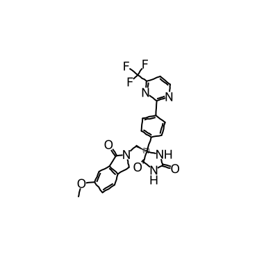 COc1ccc2c(c1)C(=O)N(C[C@@]1(c3ccc(-c4nccc(C(F)(F)F)n4)cc3)NC(=O)NC1=O)C2